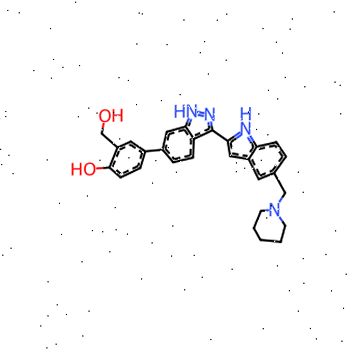 OCc1cc(-c2ccc3c(-c4cc5cc(CN6CCCCC6)ccc5[nH]4)n[nH]c3c2)ccc1O